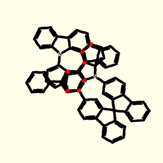 c1ccc(-c2nc(-c3ccc4c(c3)C3(c5ccccc5-4)c4ccccc4-c4ccc(-n5c6ccccc6c6ccccc65)cc43)nc(-n3c4ccccc4c4ccc5c6ccccc6n(-c6ccccc6)c5c43)n2)cc1